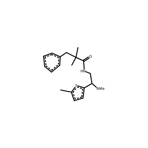 CNC(CNC(=O)C(C)(C)Cc1ccccc1)c1ccc(C)s1